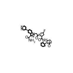 NC(=O)c1nn(CC(=O)N2CC(F)CC2C(=O)Nc2ccccc2N2CCOC2=O)c2ccc(-c3ccnnc3)cc12